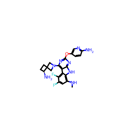 CNc1cc(F)c(F)c2c1[nH]c1nc(Oc3ccc(N)nc3)nc(N3CC4(CC[C@@H]4N)C3)c12